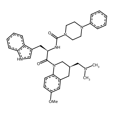 COc1ccc2c(c1)C[C@H](CN(C)C)CN2C(=O)[C@@H](Cc1c[nH]c2ccccc12)NC(=O)N1CCN(c2ccccc2)CC1